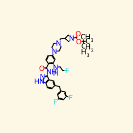 CC(C)(C)OC(=O)N1CC(CN2CCN(c3ccc(C(=O)Nc4n[nH]c5ccc(Cc6cc(F)cc(F)c6)cc45)c(NCCF)c3)CC2)C1